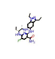 CCc1nn(CC)c2ccc(Nc3nc(N[C@H](CC)[C@H](C)N)c(F)cc3C(N)=O)cc12